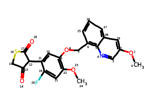 COc1cnc2c(COc3cc(C4C(=O)CSC4=O)c(F)cc3OC)cccc2c1